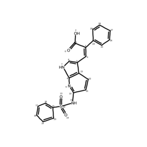 O=C(O)C(=Cc1c[nH]c2nc(NS(=O)(=O)c3ccccc3)ccc12)c1ccccc1